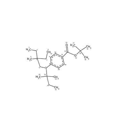 CCC(C)(CC)CC(c1ccc(C(=O)OC(C)(C)C)cc1)C(C)(C)CC